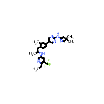 C=C(Cc1ccc(-c2cnc(NC3=CC(C)(C)C=N3)nc2)cc1C)Nc1cnc(CC)c(C(F)(F)F)c1